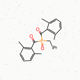 Cc1cccc(C)c1C(=O)P(=O)(CC(C)C)C(=O)c1c(C)cccc1C